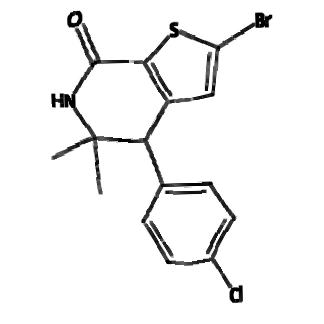 CC1(C)NC(=O)c2sc(Br)cc2C1c1ccc(Cl)cc1